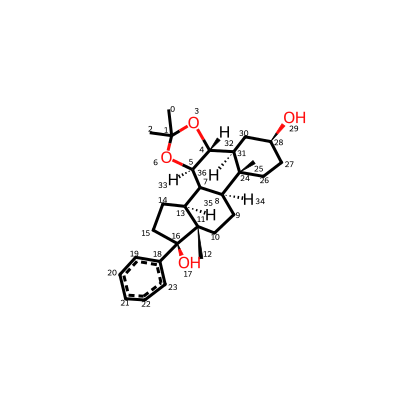 CC1(C)O[C@H]2[C@H](O1)C1[C@H](CC[C@@]3(C)[C@H]1CC[C@@]3(O)c1ccccc1)[C@@]1(C)CC[C@H](O)C[C@H]21